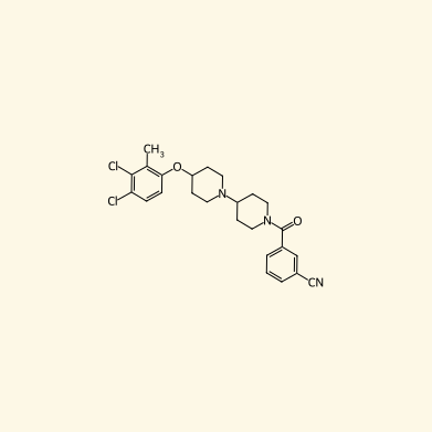 Cc1c(OC2CCN(C3CCN(C(=O)c4cccc(C#N)c4)CC3)CC2)ccc(Cl)c1Cl